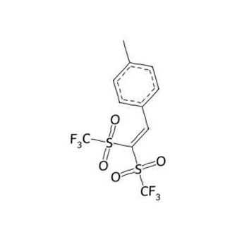 Cc1ccc(C=C(S(=O)(=O)C(F)(F)F)S(=O)(=O)C(F)(F)F)cc1